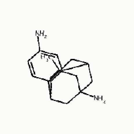 CC12CC3CC(N)(CC(C1)c1cc(N)ccc13)C2